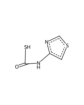 O=C(S)Nc1cscn1